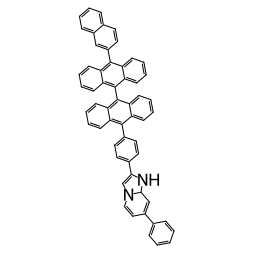 C1=CN2C=C(c3ccc(-c4c5ccccc5c(-c5c6ccccc6c(-c6ccc7ccccc7c6)c6ccccc56)c5ccccc45)cc3)NC2C=C1c1ccccc1